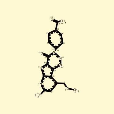 COCc1cc(C)nc2sc3c(=O)n(-c4ccc(C(C)=O)cc4)nnc3c12